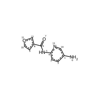 Nc1ccc(NC(=O)c2ccoc2)nc1